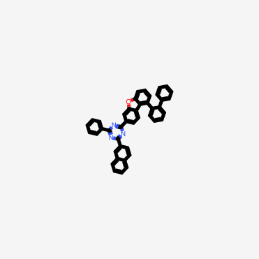 c1ccc(-c2nc(-c3ccc4ccccc4c3)nc(-c3ccc4c(c3)oc3cccc(-c5ccccc5-c5ccccc5)c34)n2)cc1